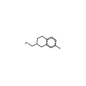 CC(C)CN1CCc2ccc(F)cc2C1